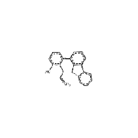 C=CCc1c(O)cccc1-c1cccc2c1Cc1ccccc1-2